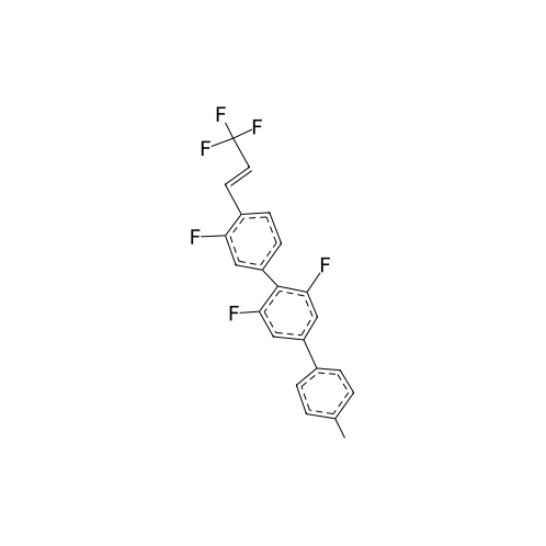 Cc1ccc(-c2cc(F)c(-c3ccc(/C=C/C(F)(F)F)c(F)c3)c(F)c2)cc1